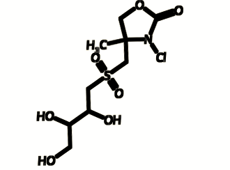 CC1(CS(=O)(=O)CC(O)C(O)CO)COC(=O)N1Cl